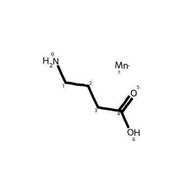 NCCCC(=O)O.[Mn]